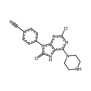 N#Cc1ccc(-n2c(=O)[nH]c3c(N4CCNCC4)nc(Cl)nc32)cc1